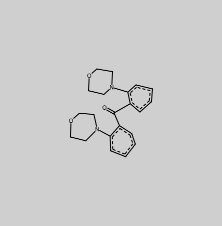 O=C(c1ccccc1N1CCOCC1)c1ccccc1N1CCOCC1